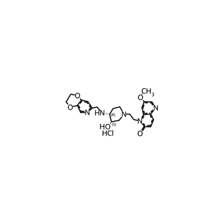 COc1cnc2ccc(=O)n(CCN3CC[C@@H](NCc4cc5c(cn4)OCCO5)[C@@H](O)C3)c2c1.Cl